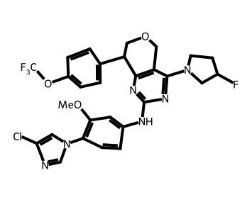 COc1cc(Nc2nc3c(c(N4CCC(F)C4)n2)COCC3c2ccc(OC(F)(F)F)cc2)ccc1-n1cnc(Cl)c1